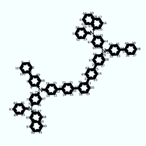 c1ccc(-c2ccc(N(c3ccc(-c4ccc(-c5cccc(-c6ccc(-c7ccc(N(c8ccc(-c9ccccc9)cc8)c8ccc(N(c9ccccc9)c9cccc%10ccccc9%10)cc8)cc7)cc6)c5)cc4)cc3)c3ccc(N(c4ccccc4)c4ccc5ccccc5c4)cc3)cc2)cc1